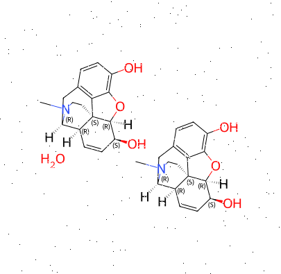 CN1CC[C@]23c4c5ccc(O)c4O[C@H]2[C@@H](O)C=C[C@H]3[C@H]1C5.CN1CC[C@]23c4c5ccc(O)c4O[C@H]2[C@@H](O)C=C[C@H]3[C@H]1C5.O